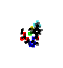 CCOC(=O)OC(C)n1nnn(C)c1=NC(=O)c1ccc(C(F)(F)F)c(SC)c1Cl